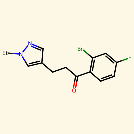 CCn1cc(CCC(=O)c2ccc(F)cc2Br)cn1